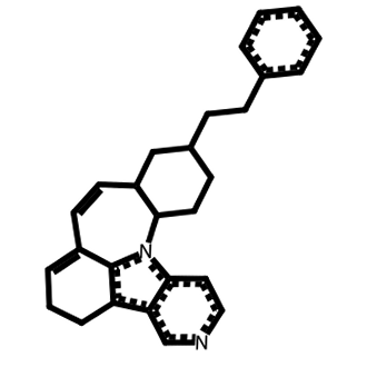 C1=CC2CC(CCc3ccccc3)CCC2n2c3c(c4cnccc42)CCC=C13